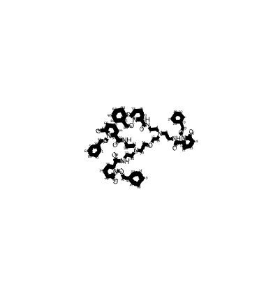 O=C(NCCN(CCNC(=O)c1cccc(=O)n1OCc1ccccc1)CCOCCN(CCNC(=O)c1cccc(=O)n1OCc1ccccc1)CCNC(=O)c1cccc(=O)n1OCc1ccccc1)c1cccc(=O)n1OCc1ccccc1